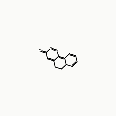 O=C1C=C2CCC3C=CC=CC3=C2N=N1